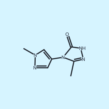 Cc1n[nH]c(=O)n1-c1cnn(C)c1